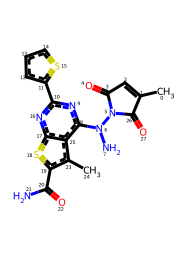 CC1=CC(=O)N(N(N)c2nc(-c3cccs3)nc3sc(C(N)=O)c(C)c23)C1=O